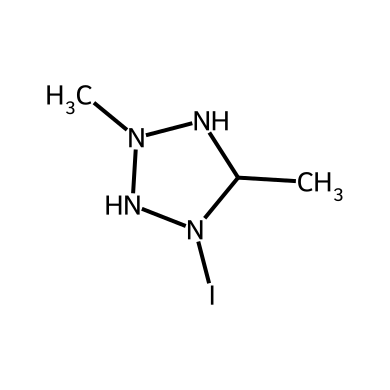 CC1NN(C)NN1I